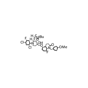 COc1ccc(CN2C(=O)CCc3c(OC[C@]4(O)CCN(c5cc(F)c(Cl)cc5Cl)C[C@H]4O[Si](C)(C)C(C)(C)C)ccc(F)c32)cc1